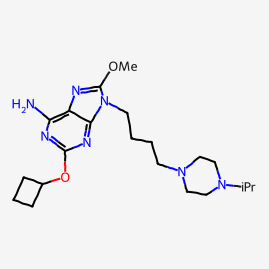 COc1nc2c(N)nc(OC3CCC3)nc2n1CCCCN1CCN(C(C)C)CC1